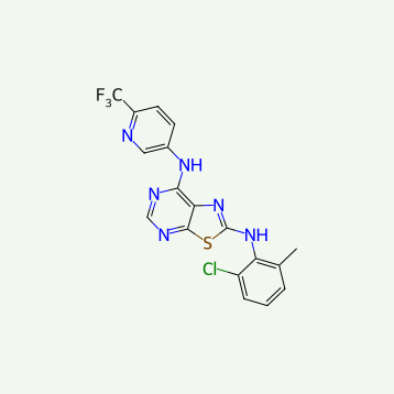 Cc1cccc(Cl)c1Nc1nc2c(Nc3ccc(C(F)(F)F)nc3)ncnc2s1